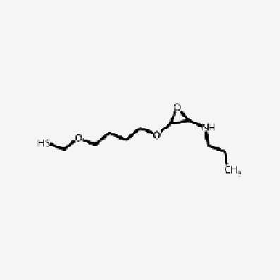 CCCNC1OC1OCCCCOCS